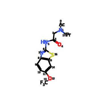 CC(=O)N(CC(=O)Nc1nc2ccc(OC(F)(F)F)cc2s1)C(C)C